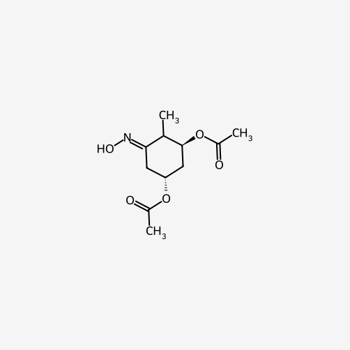 CC(=O)O[C@@H]1C/C(=N\O)C(C)[C@@H](OC(C)=O)C1